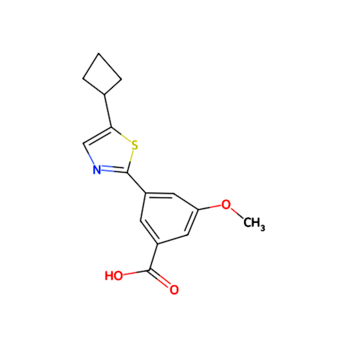 COc1cc(C(=O)O)cc(-c2ncc(C3CCC3)s2)c1